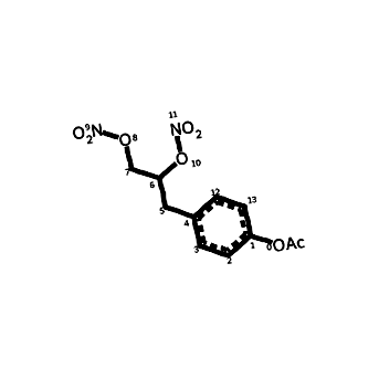 CC(=O)Oc1ccc(CC(CO[N+](=O)[O-])O[N+](=O)[O-])cc1